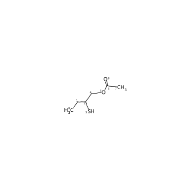 CCC(S)COC(C)=O